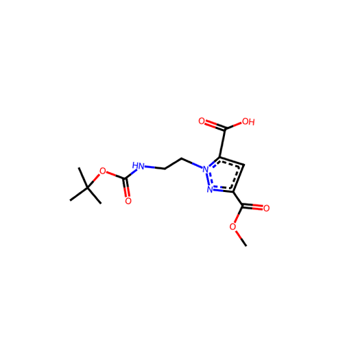 COC(=O)c1cc(C(=O)O)n(CCNC(=O)OC(C)(C)C)n1